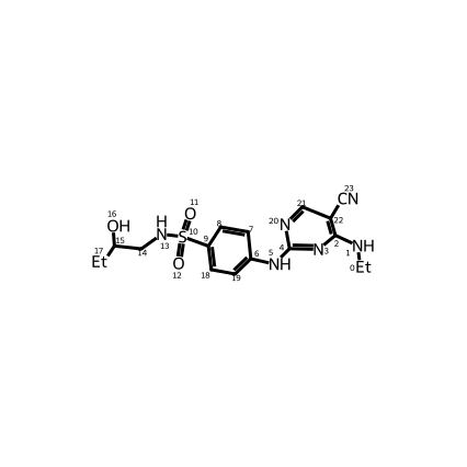 CCNc1nc(Nc2ccc(S(=O)(=O)NCC(O)CC)cc2)ncc1C#N